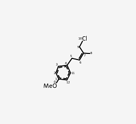 COc1ccc(CC=C(C)CCl)cc1